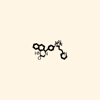 O=C1CN=C(c2ccc(-n3nnnc3CCc3ccccn3)cc2)c2ccc3ccccc3c2N1